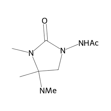 CNC1(C)CN(NC(C)=O)C(=O)N1C